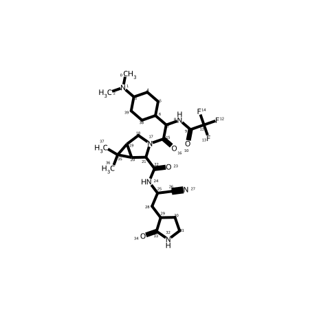 CN(C)C1CCC(C(NC(=O)C(F)(F)F)C(=O)N2CC3C(C2C(=O)NC(C#N)CC2CCNC2=O)C3(C)C)CC1